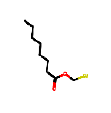 CCCCCCCC(=O)OCS